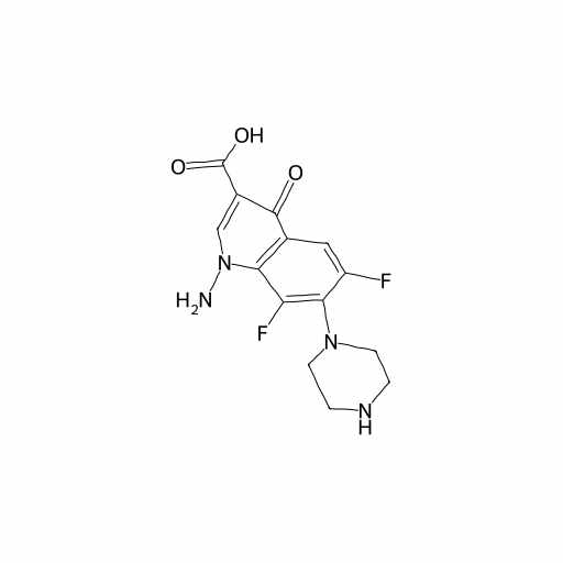 Nn1cc(C(=O)O)c(=O)c2cc(F)c(N3CCNCC3)c(F)c21